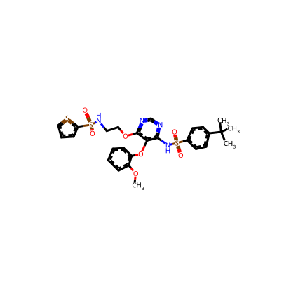 COc1ccccc1Oc1c(NS(=O)(=O)c2ccc(C(C)(C)C)cc2)ncnc1OCCNS(=O)(=O)c1cccs1